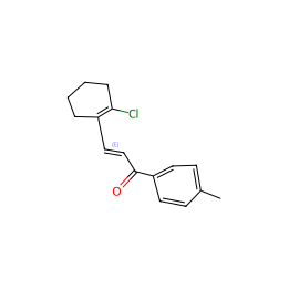 Cc1ccc(C(=O)/C=C/C2=C(Cl)CCCC2)cc1